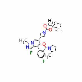 Cc1nc(F)c2c(-c3ccc(F)cc3C(=O)N3CCC[C@H]3C)cc(C3CN(C(=O)OC(C)(C)C)C3)cn12